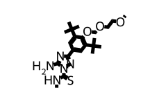 CNC(=S)n1nc(-c2cc(C(C)(C)C)c(OCOCCOC)c(C(C)(C)C)c2)nc1N